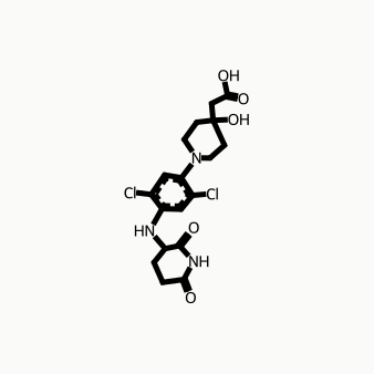 O=C(O)CC1(O)CCN(c2cc(Cl)c(NC3CCC(=O)NC3=O)cc2Cl)CC1